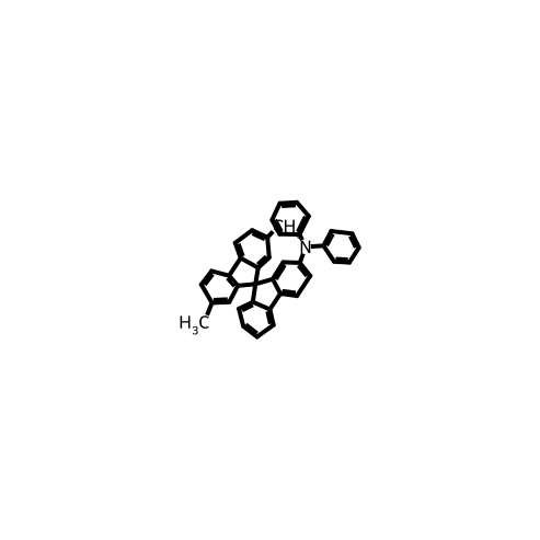 Cc1ccc2c(c1)C1(c3ccccc3-c3ccc(N(c4ccccc4)c4ccccc4)cc31)c1cc(C)ccc1-2